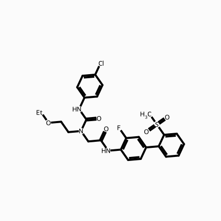 CCOCCN(CC(=O)Nc1ccc(-c2ccccc2S(C)(=O)=O)cc1F)C(=O)Nc1ccc(Cl)cc1